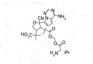 CC(C)[C@H](N)C(=O)OCOC(=O)C(C)(C)C1C(C(C)(C)C(=O)O)COC1(C#N)c1ccc2c(N)ncnn12